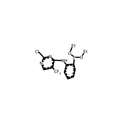 CCOP(OCC)c1ccccc1Nc1nc(Cl)ncc1C(F)(F)F